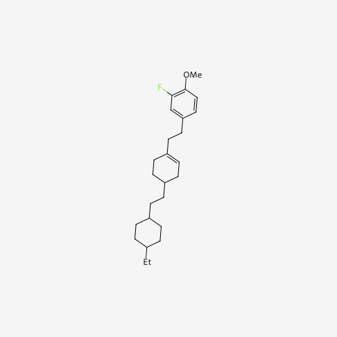 CCC1CCC(CCC2CC=C(CCc3ccc(OC)c(F)c3)CC2)CC1